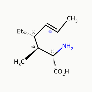 C/C=C/[C@@H](CC)[C@H](C)[C@H](N)C(=O)O